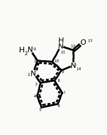 Nc1nc2ccccc2c2c1NC(=O)[N]2